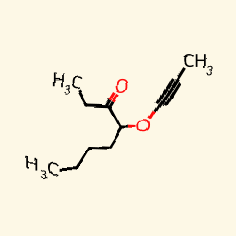 CC#COC(CCCC)C(=O)CC